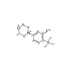 CC(C)(C)c1ccc(N2CCOCC2)cc1F